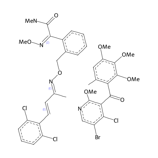 CNC(=O)/C(=N\OC)c1ccccc1CO/N=C(C)/C=C/c1c(Cl)cccc1Cl.COc1cc(C)c(C(=O)c2c(OC)ncc(Br)c2Cl)c(OC)c1OC